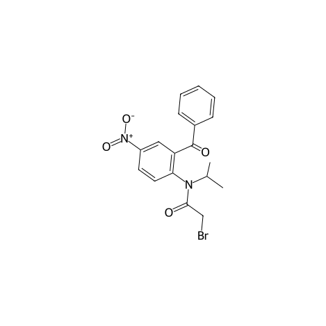 CC(C)N(C(=O)CBr)c1ccc([N+](=O)[O-])cc1C(=O)c1ccccc1